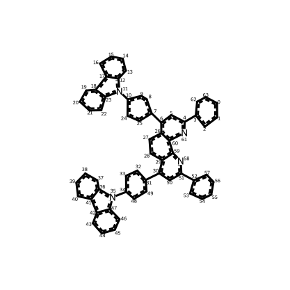 c1ccc(-c2cc(-c3ccc(-n4c5ccccc5c5ccccc54)cc3)c3ccc4c(-c5ccc(-n6c7ccccc7c7ccccc76)cc5)cc(-c5ccccc5)nc4c3n2)cc1